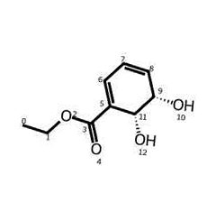 CCOC(=O)C1=CC=C[C@H](O)[C@@H]1O